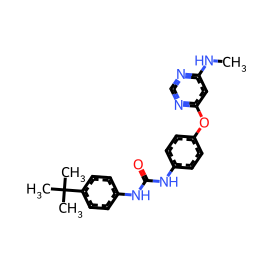 CNc1cc(Oc2ccc(NC(=O)Nc3ccc(C(C)(C)C)cc3)cc2)ncn1